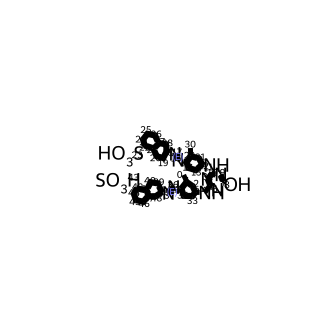 Cc1cc(Nc2nc(O)nc(Nc3ccc(/N=N/c4ccc5c(S(=O)(=O)O)cccc5c4)c(C)c3)n2)ccc1/N=N/c1ccc2c(S(=O)(=O)O)cccc2c1